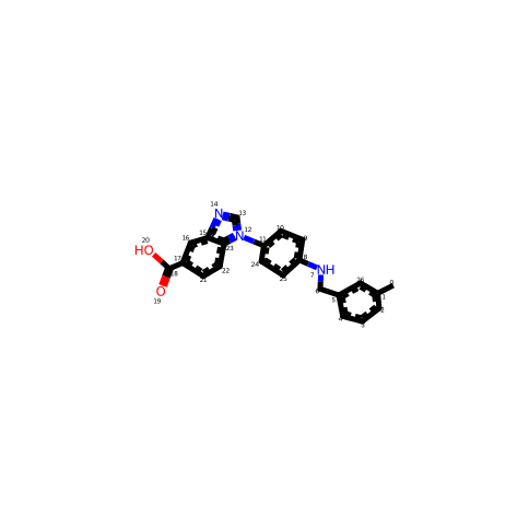 Cc1cccc(CNc2ccc(-n3cnc4cc(C(=O)O)ccc43)cc2)c1